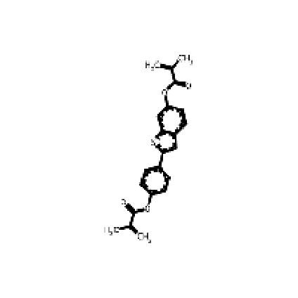 C=C(C)C(=O)Oc1ccc(-c2cc3ccc(OC(=O)C(=C)C)cc3s2)cc1